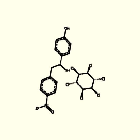 Cl[C@H]1[C@H](Cl)[C@@H](Cl)[C@@H](Cl)[C@H](Cl)[C@H]1Cl.O=[N+]([O-])c1ccc(CC(S)c2ccc(O)cc2)cc1